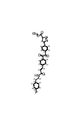 CC(C)(C)OC(=O)C1CC(c2ccc(C(=O)C(=O)c3ccc(C=CC(=O)NCCc4ccc(F)cc4)cc3)cc2)=NO1